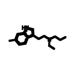 CCCN(CC)CCc1c[nH]c2cc(C)ccc12